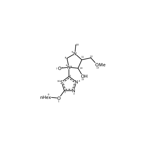 CCCCCCOc1nnc([N+]2([O-])CN(C)C(COC)C2O)s1